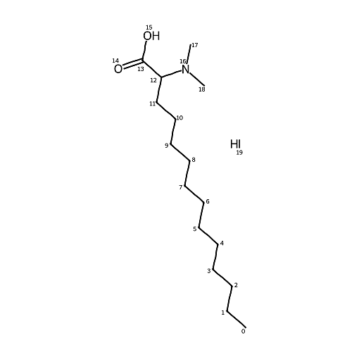 CCCCCCCCCCCCC(C(=O)O)N(C)C.I